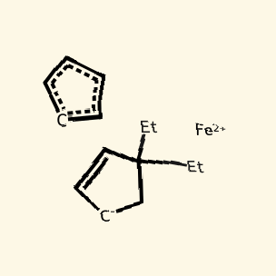 CCC1(CC)C=C[CH-]C1.[Fe+2].c1cc[cH-]c1